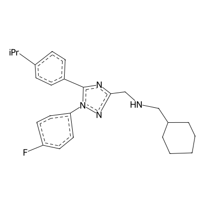 CC(C)c1ccc(-c2nc(CNCC3CCCCC3)nn2-c2ccc(F)cc2)cc1